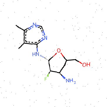 Cc1ncnc(N[C@@H]2OC(CO)[C@@H](N)[C@H]2F)c1C